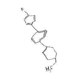 CCC1CCC(C2=C=C=C(c3ccc(F)cc3)C=C2)CC1